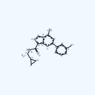 CCc1cc(-c2cccc(F)c2)nc2c(C(=O)N[C@@H](C)C3CC3)ncn12